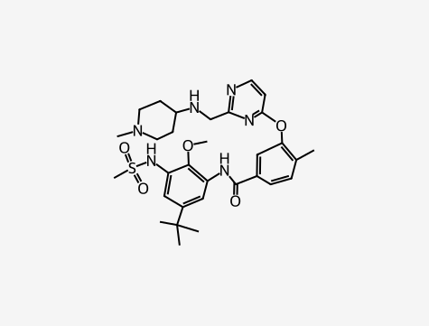 COc1c(NC(=O)c2ccc(C)c(Oc3ccnc(CNC4CCN(C)CC4)n3)c2)cc(C(C)(C)C)cc1NS(C)(=O)=O